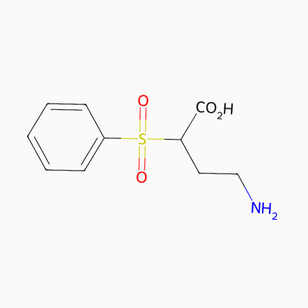 NCCC(C(=O)O)S(=O)(=O)c1ccccc1